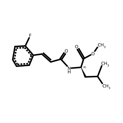 COC(=O)[C@@H](CC(C)C)NC(=O)C=Cc1ccccc1F